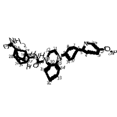 CC(C)Oc1ccc(-c2ccc(N3CCN(C(=O)NC4[C@@H]5CC6C[C@H]4CC(C(N)=O)(C6)C5)c4ccccc43)cc2)nc1